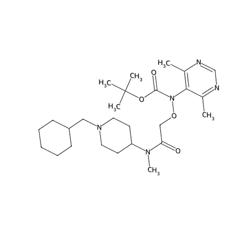 Cc1ncnc(C)c1N(OCC(=O)N(C)C1CCN(CC2CCCCC2)CC1)C(=O)OC(C)(C)C